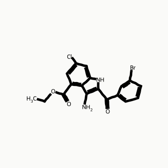 CCOC(=O)c1cc(Cl)cc2[nH]c(C(=O)c3cccc(Br)c3)c(N)c12